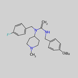 C=C(NCc1ccc(OCC(C)C)cc1)N(Cc1ccc(F)cc1)C1CCN(C)CC1